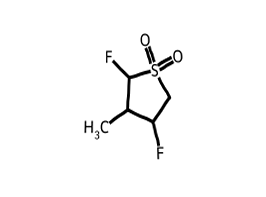 CC1C(F)CS(=O)(=O)C1F